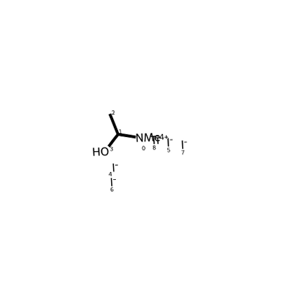 CNC(C)O.[I-].[I-].[I-].[I-].[Ti+4]